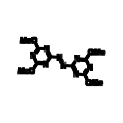 COc1nc(N=Nc2nc(OC)nc(OC)n2)nc(OC)n1